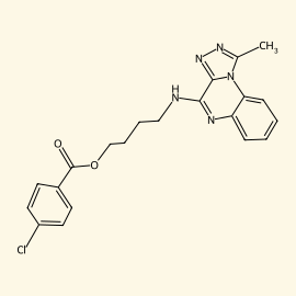 Cc1nnc2c(NCCCCOC(=O)c3ccc(Cl)cc3)nc3ccccc3n12